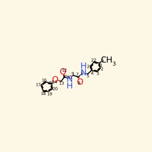 Cc1ccc(CNC(=O)CNC(=O)COc2ccccc2)cc1